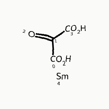 O=C(O)C(=O)C(=O)O.[Sm]